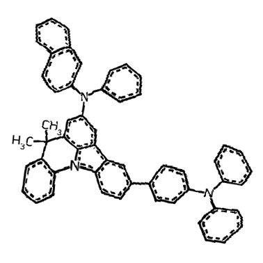 CC1(C)c2ccccc2-n2c3ccc(-c4ccc(N(c5ccccc5)c5ccccc5)cc4)cc3c3cc(N(c4ccccc4)c4ccc5ccccc5c4)cc1c32